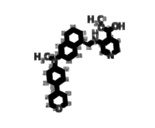 COC(O)c1ccncc1NC[C@@H]1CCCc2cc(N(C)c3ccc(C4=CCOCC4)cc3)ccc21